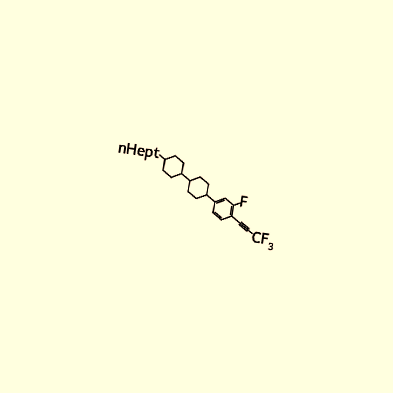 CCCCCCCC1CCC(C2CCC(c3ccc(C#CC(F)(F)F)c(F)c3)CC2)CC1